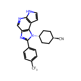 N#C[C@H]1CC[C@H](n2c(-c3ccc(C(F)(F)F)cc3)nc3cnc4[nH]ccc4c32)CC1